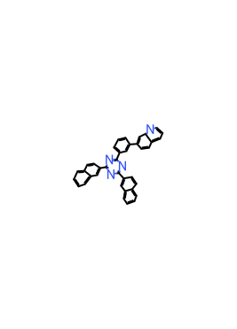 c1cc(-c2ccc3cccnc3c2)cc(-c2nc(-c3ccc4ccccc4c3)nc(-c3ccc4ccccc4c3)n2)c1